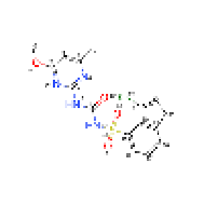 COc1cc(C)nc(NC(=O)NS(=O)(=O)c2cccc3c2C(Cl)=CC3)n1